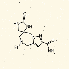 CCN1Cc2cc(C(N)=O)nn2CC2(CNC(=O)N2)C1